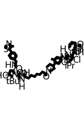 Cc1cc(Nc2ncc(Cl)c(Nc3ccccc3S(=O)(=O)C(C)C)n2)c(OC(C)C)cc1C1CCN(C(=O)CCCCCCC(=O)N[C@H](C(O)N2C[C@H](O)C[C@H]2C(=O)NCc2ccc(-c3scnc3C)cc2)C(C)(C)C)CC1